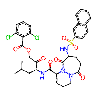 CC(C)C[C@H](NC(=O)[C@@H]1CCCN2C(=O)CCC(NS(=O)(=O)c3ccc4ccccc4c3)C(=O)N12)C(=O)COC(=O)c1c(Cl)cccc1Cl